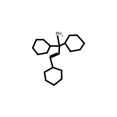 PC(C=CC1CCCCC1)(C1CCCCC1)C1CCCCC1